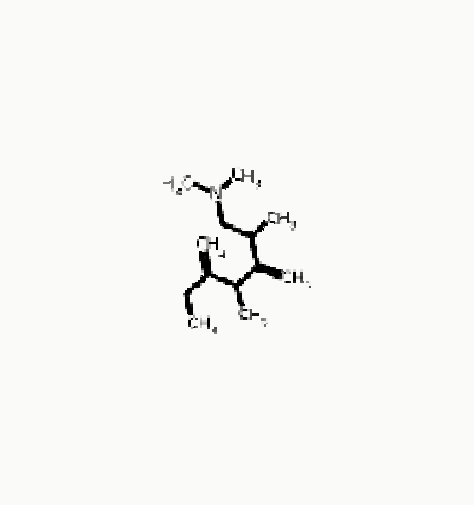 C=C(CC)C(C)C(=C)C(C)CN(C)C